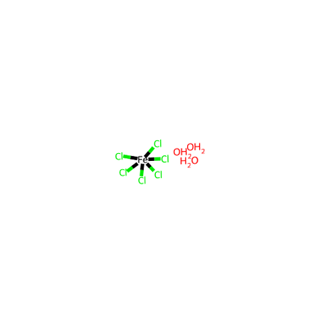 O.O.O.[Cl][Fe]([Cl])([Cl])([Cl])([Cl])[Cl]